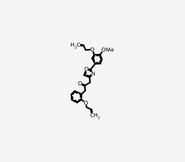 C=CCOc1ccccc1CC(=O)Cc1coc(-c2ccc(OC)c(OCC=C)c2)n1